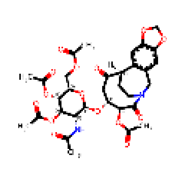 CC(=O)N[C@H]1[C@H](O[C@@H]2CC(=O)[C@@H]3CCN(Cc4cc5c(cc43)OCO5)C(=O)[C@H]2OC(C)=O)O[C@H](COC(C)=O)[C@@H](OC(C)=O)[C@@H]1OC(C)=O